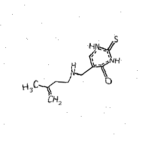 C=C(C)CCNCc1c[nH]c(=S)[nH]c1=O